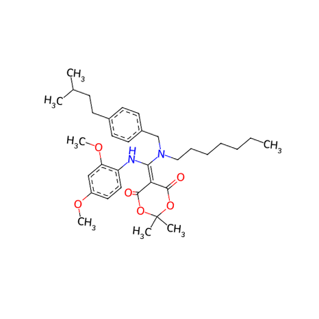 CCCCCCCN(Cc1ccc(CCC(C)C)cc1)C(Nc1ccc(OC)cc1OC)=C1C(=O)OC(C)(C)OC1=O